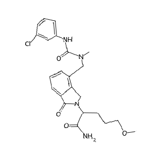 COCCCC(C(N)=O)N1Cc2c(CN(C)C(=O)Nc3cccc(Cl)c3)cccc2C1=O